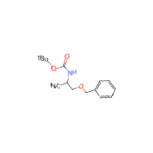 CC(C)(C)OC(=O)NC(C#N)COCc1ccccc1